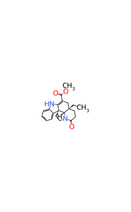 CC[C@]12CCC(=O)N3CC[C@@]4(C(=C(C(=O)OC)C1)Nc1ccccc14)[C@@H]32